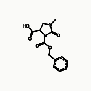 CN1CC(C(=O)O)N(C(=O)OCc2ccccc2)C1=O